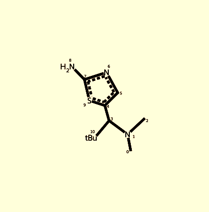 CN(C)C(c1cnc(N)s1)C(C)(C)C